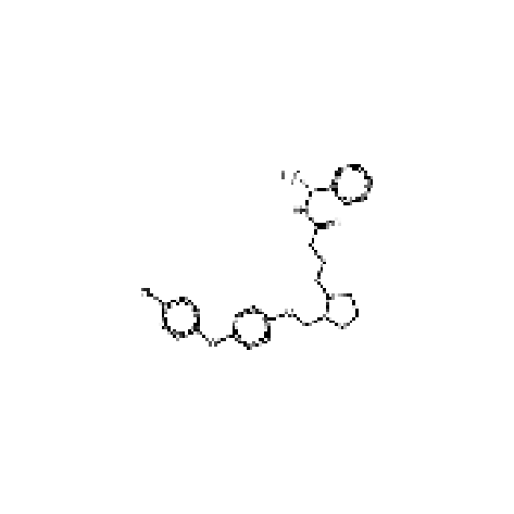 C[C@@H](NC(=O)CCCN1CCCC1COc1ccc(Oc2ccc(Cl)cc2)cc1)c1ccccc1